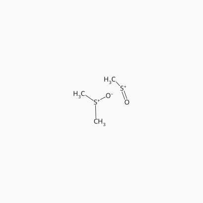 C[S+](C)[O-].C[S+]=O